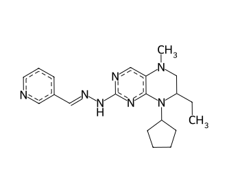 CCC1CN(C)c2cnc(N/N=C/c3cccnc3)nc2N1C1CCCC1